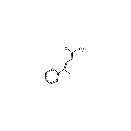 CC(=CC=C(Cl)C(=O)O)c1ccccc1